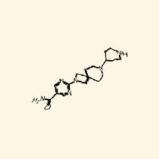 NC(=O)c1cnc(N2CC3(CCN(C4CCNCC4)CC3)C2)nc1